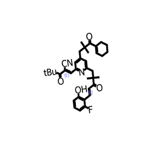 CC(C)(C)C(=O)/C(C#N)=C/c1cc(CC(C)(C)C(=O)C2=CCCCC2)cc(CC(C)(C)C(=O)/C=C/c2c(O)cccc2F)n1